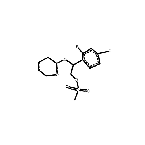 CS(=O)(=O)OCC(OC1CCCCO1)c1ccc(F)cc1F